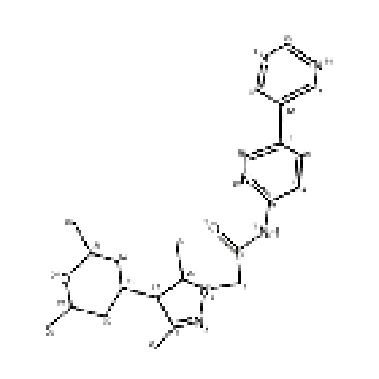 CC1=NN(CC(=O)Nc2ccc(-c3cncnc3)cn2)C(C)C1C1CC(C)OC(C)C1